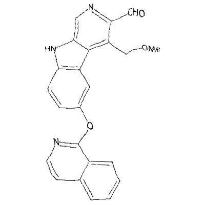 COCc1c(C=O)ncc2[nH]c3ccc(Oc4nccc5ccccc45)cc3c12